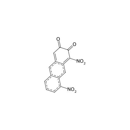 O=C1C=c2cc3cccc([N+](=O)[O-])c3cc2=C([N+](=O)[O-])C1=O